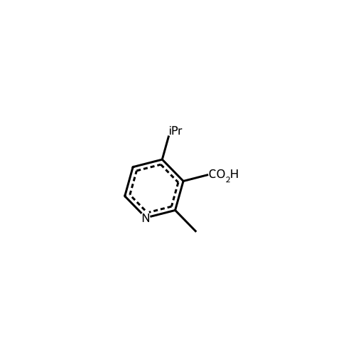 Cc1nccc(C(C)C)c1C(=O)O